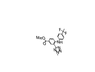 COC(=O)c1ccc(Nc2ccc(C(C)(F)F)cc2)c(-c2nnn(C)n2)c1